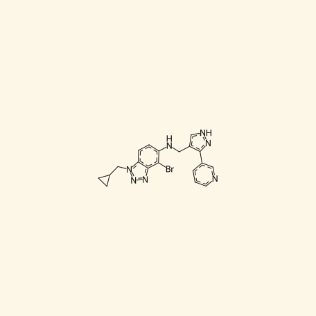 Brc1c(NCc2c[nH]nc2-c2cccnc2)ccc2c1nnn2CC1CC1